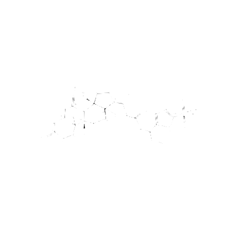 CC(C)C(NC(=O)C[C@@H](C)C1CC[C@H]2C3C(=O)CC4CC(=O)CCC4(C)[C@H]3CCC12C)c1ccc(S(=O)(=O)O)s1